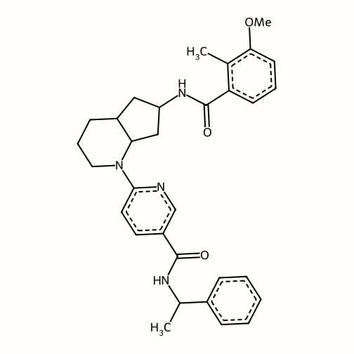 COc1cccc(C(=O)NC2CC3CCCN(c4ccc(C(=O)NC(C)c5ccccc5)cn4)C3C2)c1C